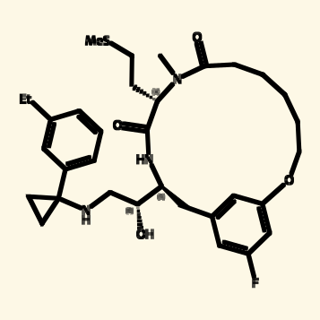 CCc1cccc(C2(NC[C@@H](O)[C@@H]3Cc4cc(F)cc(c4)OCCCCCC(=O)N(C)[C@@H](CCSC)C(=O)N3)CC2)c1